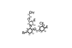 OCCO[C@H]1CN(c2cc(Br)ccc2OCc2ccc(F)c(C(F)(F)F)c2)C[C@H]1F